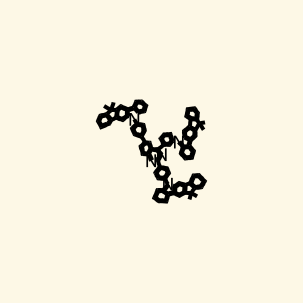 CC1(C)c2ccccc2-c2cc3c(cc21)c1ccccc1n3-c1ccc(-c2ccc3nc(-c4ccc(-n5c6ccccc6c6cc7c(cc65)-c5ccccc5C7(C)C)cc4)nc(-c4cccc(-n5c6ccccc6c6cc7c(cc65)-c5ccccc5C7(C)C)c4)c3c2)cc1